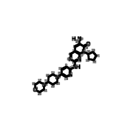 Nc1cc2cnc(Nc3ccc(N4CCC(N5CCOCC5)CC4)cn3)nc2n(C2CCCC2)c1=O